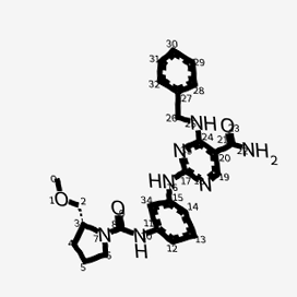 COC[C@H]1CCCN1C(=O)Nc1cccc(Nc2ncc(C(N)=O)c(NCc3ccccc3)n2)c1